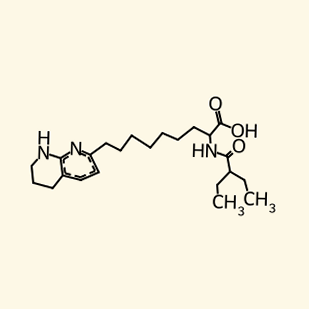 CCC(CC)C(=O)NC(CCCCCCCc1ccc2c(n1)NCCC2)C(=O)O